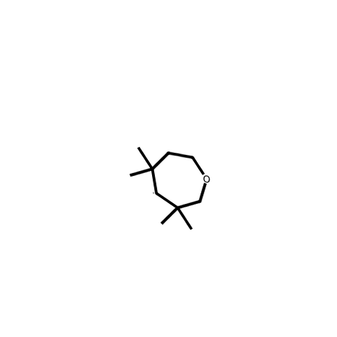 CC1(C)[CH]C(C)(C)COCC1